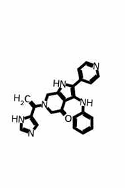 C=C(c1cnc[nH]1)N1CC(=O)c2c([nH]c(-c3ccncc3)c2Nc2ccccc2)C1